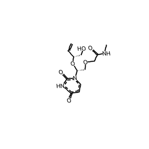 C=C[C@H](CO)O[C@H](COCC(=O)NC)n1ccc(=O)[nH]c1=O